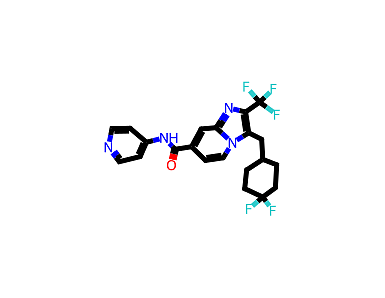 O=C(Nc1ccncc1)c1ccn2c(CC3CCC(F)(F)CC3)c(C(F)(F)F)nc2c1